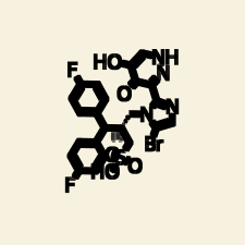 O=c1c(O)c[nH]nc1-c1ncc(Br)n1C[C@H](CS(=O)(=O)O)C(c1ccc(F)cc1)c1ccc(F)cc1